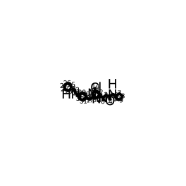 CN(CC(=O)NC1CCCC1)c1[c]c(Cl)nc(Cc2ccc(NCC3CCCCC3)cc2)n1